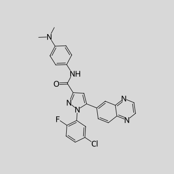 CN(C)c1ccc(NC(=O)c2cc(-c3ccc4nccnc4c3)n(-c3cc(Cl)ccc3F)n2)cc1